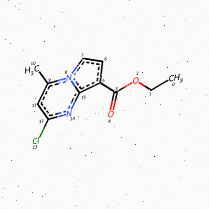 CCOC(=O)c1ccn2c(C)cc(Cl)nc12